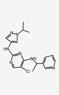 [CH2][C](Nc1nc(Nc2cnn(C(C)C)c2)ncc1Cl)c1cccnc1